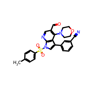 Cc1ccc(S(=O)(=O)n2cc(-c3cccc(C#N)c3)c3c(N4CCOCC4)c(C=O)cnc32)cc1